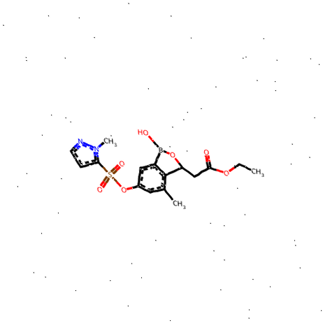 CCOC(=O)CC1OB(O)c2cc(OS(=O)(=O)c3ccnn3C)cc(C)c21